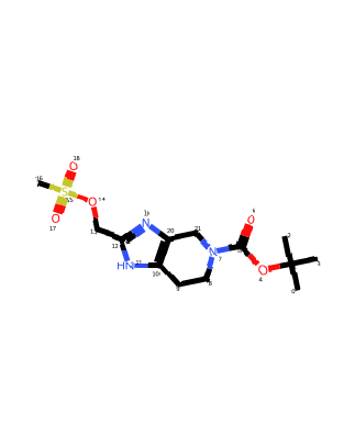 CC(C)(C)OC(=O)N1CCc2[nH]c(COS(C)(=O)=O)nc2C1